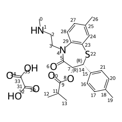 CNCCN1C(=O)[C@@H](OC(=O)C(C)C)[C@@H](c2ccc(C)cc2)Sc2cc(C)ccc21.O=C(O)C(=O)O